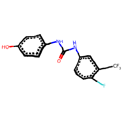 O=C(Nc1ccc(O)cc1)Nc1ccc(F)c(C(F)(F)F)c1